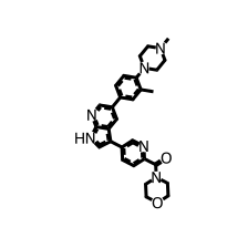 Cc1cc(-c2cnc3[nH]cc(-c4ccc(C(=O)N5CCOCC5)nc4)c3c2)ccc1N1CCN(C)CC1